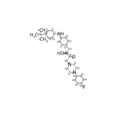 CC(C)(C)c1ccc(Nc2ccc(CN(O)C(=O)CN3CCN(c4ccc(F)cc4)CC3)cc2)cc1